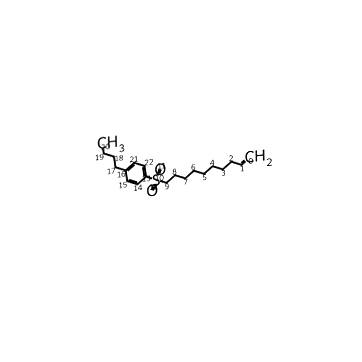 C=CCCCCCCCCS(=O)(=O)c1ccc(CCCC)cc1